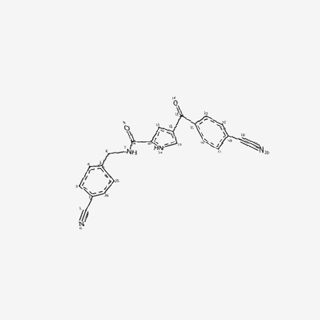 N#Cc1ccc(CNC(=O)c2cc(C(=O)c3ccc(C#N)cc3)c[nH]2)cc1